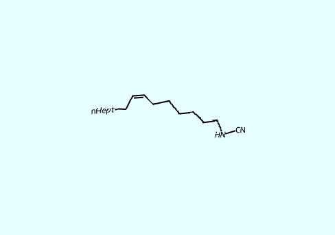 CCCCCCCC/C=C\CCCCCCNC#N